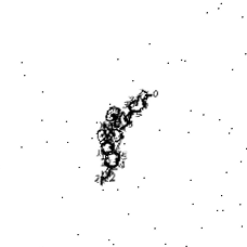 CC(C)N1CCC(N2CC[C@H](N(C)S(=O)(=O)c3ccc4cc(CI)ccc4c3)C2=O)CC1